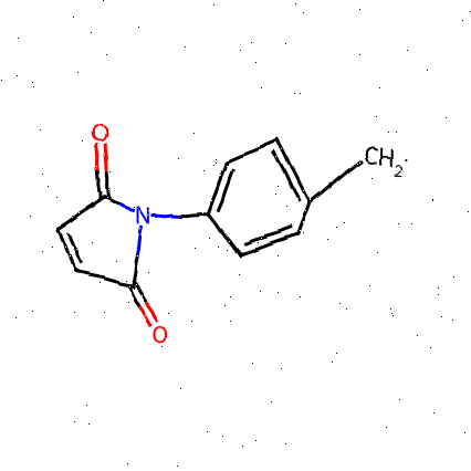 [CH2]c1ccc(N2C(=O)C=CC2=O)cc1